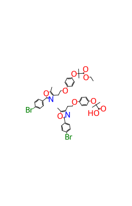 CCOC(=O)C(C)(C)Oc1ccc(OCCc2nc(-c3ccc(Br)cc3)oc2C)cc1.Cc1oc(-c2ccc(Br)cc2)nc1CCOc1ccc(OC(C)(C)C(=O)O)cc1